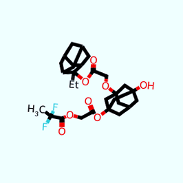 CCC1(OC(=O)COC23CC4CC(O)(C2)CC(OC(=O)COC(=O)C(C)(F)F)(C4)C3)C2CC3CC(C2)CC1C3